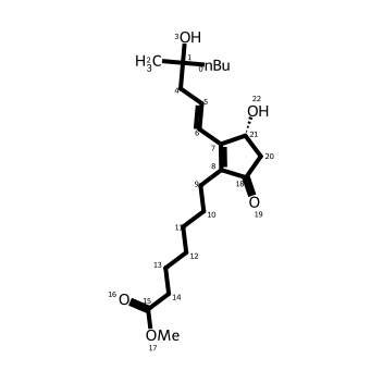 CCCCC(C)(O)C/C=C/C1=C(CCCCCCC(=O)OC)C(=O)C[C@H]1O